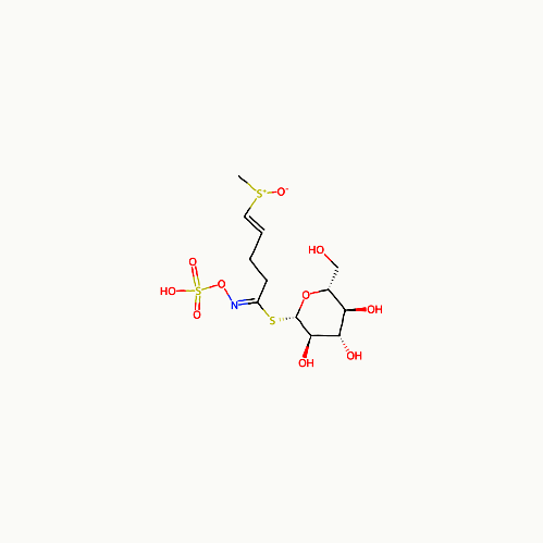 C[S+]([O-])/C=C/CC/C(=N\OS(=O)(=O)O)S[C@@H]1O[C@H](CO)[C@@H](O)[C@H](O)[C@H]1O